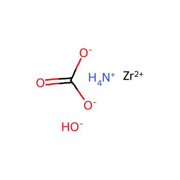 O=C([O-])[O-].[NH4+].[OH-].[Zr+2]